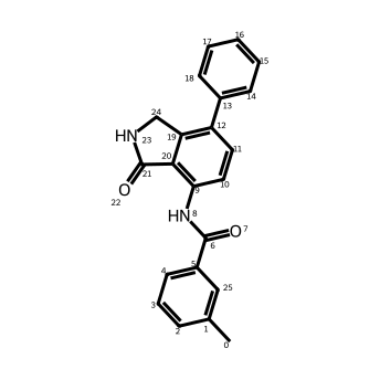 Cc1cccc(C(=O)Nc2ccc(-c3ccccc3)c3c2C(=O)NC3)c1